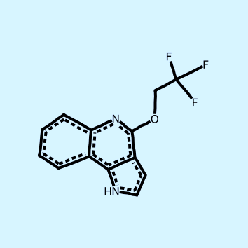 FC(F)(F)COc1nc2ccccc2c2[nH]ccc12